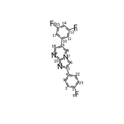 Fc1ccc(-c2cn3cc(-c4cc(F)cc(F)c4)cnc3n2)cc1